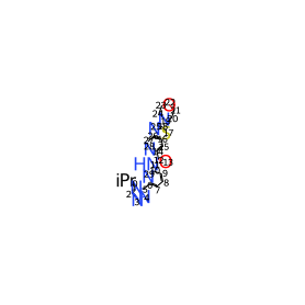 CC(C)n1cnnc1-c1cccc(NC(=O)c2cc3sc(N4CCOCC4)nc3cn2)n1